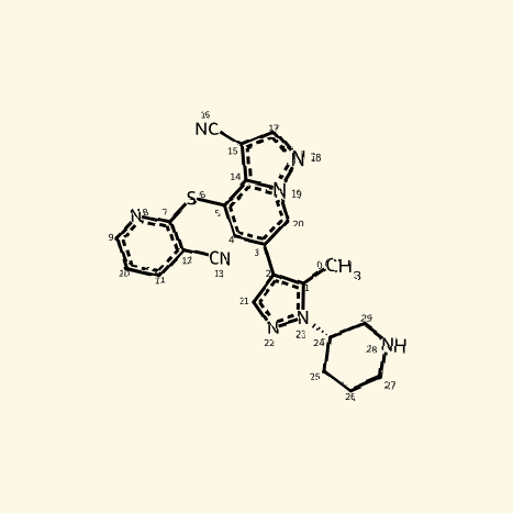 Cc1c(-c2cc(Sc3ncccc3C#N)c3c(C#N)cnn3c2)cnn1[C@H]1CCCNC1